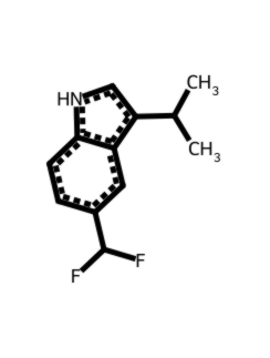 CC(C)c1c[nH]c2ccc(C(F)F)cc12